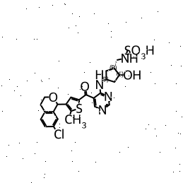 Cc1sc(C(=O)c2cncnc2N[C@@H]2C[C@H](CNS(=O)(=O)O)[C@@H](O)C2)cc1C1OCCc2ccc(Cl)cc21